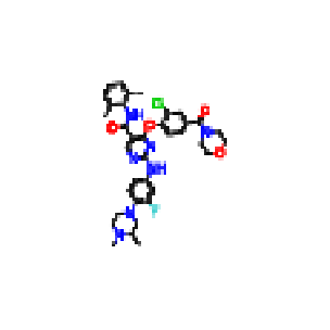 Cc1cccc(C)c1NC(=O)c1cnc(Nc2ccc(N3CCN(C)C(C)C3)c(F)c2)nc1Oc1ccc(C(=O)N2CCOCC2)cc1Cl